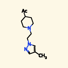 CC(=O)C1CCN(CCn2cc(C)cn2)CC1